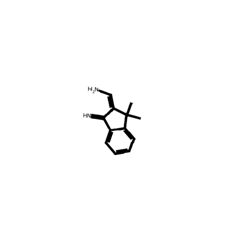 CC1(C)/C(=C/N)C(=N)c2ccccc21